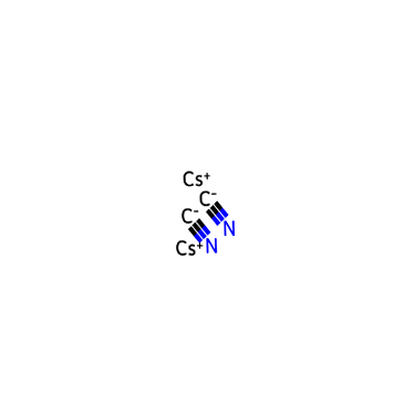 [C-]#N.[C-]#N.[Cs+].[Cs+]